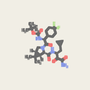 CC(C)(C)OC(=O)N[C@H](C(=O)N1C[C@H]2[C@@H]([C@H]1C(=O)N[C@@H](CC1CC1)C(=O)C(N)=O)C2(C)C)C1CCC(F)(F)CC1